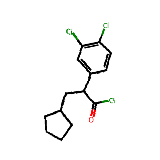 O=C(Cl)C(CC1CCCC1)c1ccc(Cl)c(Cl)c1